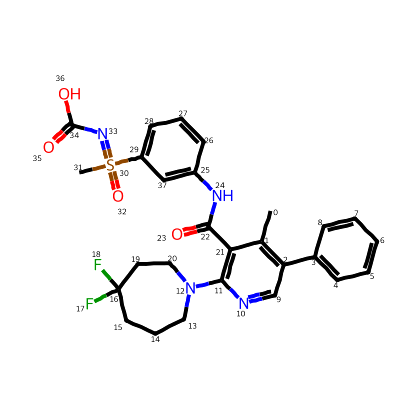 Cc1c(-c2ccccc2)cnc(N2CCCC(F)(F)CC2)c1C(=O)Nc1cccc(S(C)(=O)=NC(=O)O)c1